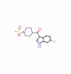 CS(=O)(=O)N1CCC(C(=O)c2c[nH]c3cc(F)ccc23)CC1